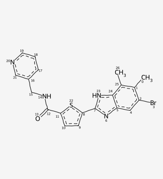 Cc1c(Br)cc2nc(-c3ccc(C(=O)NCc4cccnc4)s3)[nH]c2c1C